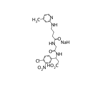 Cc1ccnc(NCCCC(=O)NCC(=O)NC(CC(=O)O)c2ccc(Cl)c([N+](=O)[O-])c2)c1.[NaH]